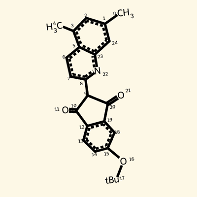 Cc1cc(C)c2ccc(C3C(=O)c4ccc(OC(C)(C)C)cc4C3=O)nc2c1